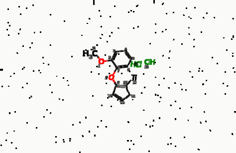 COc1ccccc1OC1=[C]([Ti])CC=C1.Cl.Cl